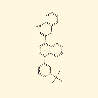 C=C(Sc1ccccc1N)c1ccc(-c2cccc(C(F)(F)F)c2)c2ccccc12